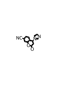 N#Cc1ccc2c(-n3ccnc3)cc(=O)oc2c1